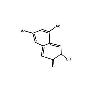 C=C1C=c2cc(C(C)=O)cc(C(C)=O)c2=CC1O